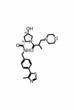 Cc1ncsc1-c1ccc(CNC(=O)[C@@H]2C[C@@H](O)CN2C(=O)C(C)CN2CCOCC2)cc1